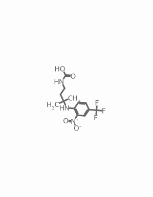 CC(C)(CCNC(=O)O)Nc1ccc(C(F)(F)F)cc1[N+](=O)[O-]